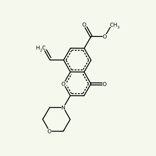 C=Cc1cc(C(=O)OC)cc2c(=O)cc(N3CCOCC3)oc12